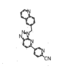 N#Cc1ccc(-c2ccc3nnn(Cc4ccc5ncccc5c4)c3n2)cn1